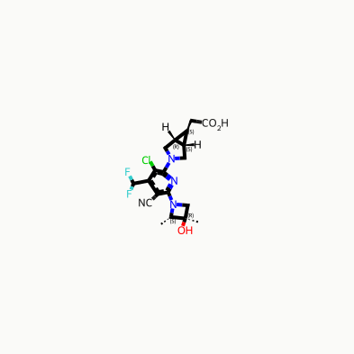 C[C@@H]1N(c2nc(N3C[C@@H]4[C@@H](CC(=O)O)[C@@H]4C3)c(Cl)c(C(F)F)c2C#N)C[C@@]1(C)O